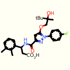 Cc1cccc(C(CC(=O)O)NC(=O)c2cc(OCC(C)(O)C(C)(C)C)n(-c3ccc(F)cc3)n2)c1C